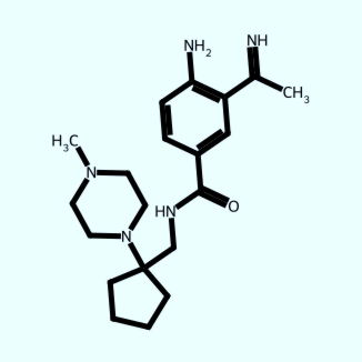 CC(=N)c1cc(C(=O)NCC2(N3CCN(C)CC3)CCCC2)ccc1N